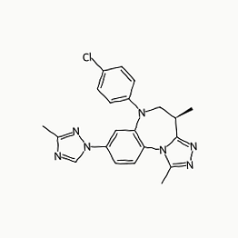 Cc1ncn(-c2ccc3c(c2)N(c2ccc(Cl)cc2)C[C@@H](C)c2nnc(C)n2-3)n1